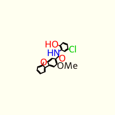 COc1cc2c(cc1C(=O)Nc1cc(Cl)ccc1O)oc1ccccc12